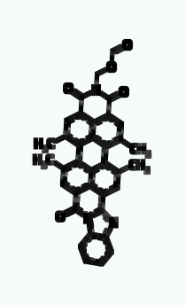 Cc1cc2c3c(cc(C)c4c5c(C)cc6c7c(cc(C)c(c1c34)c57)c(=O)n1c3ccccc3nc61)C(=O)N(COC=O)C2=O